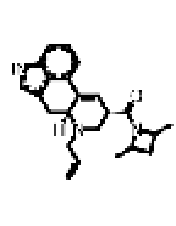 C=CCN1C[C@H](C(=O)N2C(C)CC2C)C=C2c3cccc4[nH]cc(c34)C[C@H]21